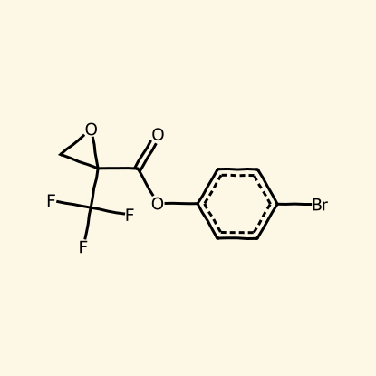 O=C(Oc1ccc(Br)cc1)C1(C(F)(F)F)CO1